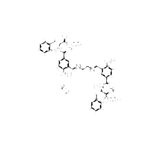 COC(=O)[C@H](Cc1ccccc1)NC(=O)c1ccc(O)c(C=NCCN=Cc2cc(C(=O)N[C@@H](Cc3ccccc3)C(=O)OC)ccc2O)c1.[O]=[V]